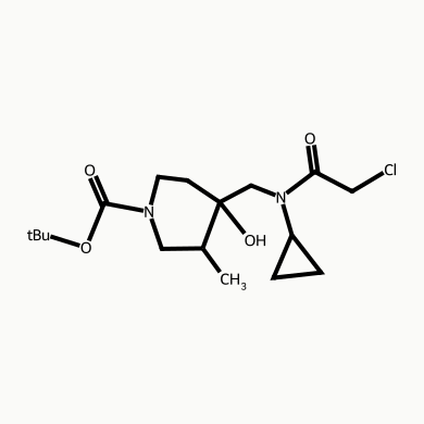 CC1CN(C(=O)OC(C)(C)C)CCC1(O)CN(C(=O)CCl)C1CC1